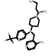 Cc1ccncc1CN(c1ccc(C(F)(F)F)nc1)C1CCN([C@H](C)CCN)CC1